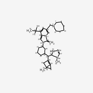 C=C1N2C=C(CN3CCCCCC3)C=C(C(C)(I)I)C2=CN1C1CCCC(C(C2=C3C[C@]3(C)C2)C2NN=CN2C)C1